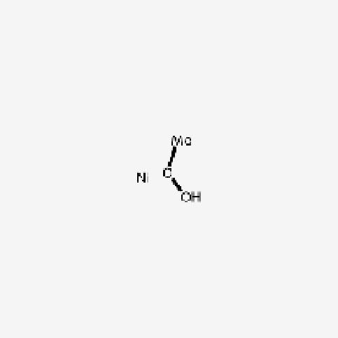 O[O][Mo].[Ni]